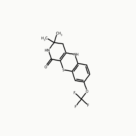 CC1(C)CC2=C(Sc3cc(OC(F)(F)F)ccc3N2)C(=O)N1